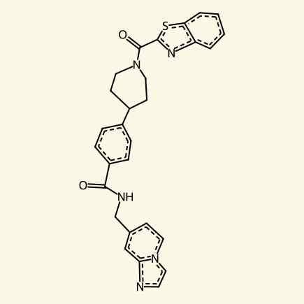 O=C(NCc1ccn2ccnc2c1)c1ccc(C2CCN(C(=O)c3nc4ccccc4s3)CC2)cc1